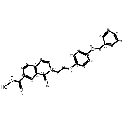 O=C(NO)c1ccc2ccn(CCOc3ccc(OCc4ccccc4)cc3)c(=O)c2c1